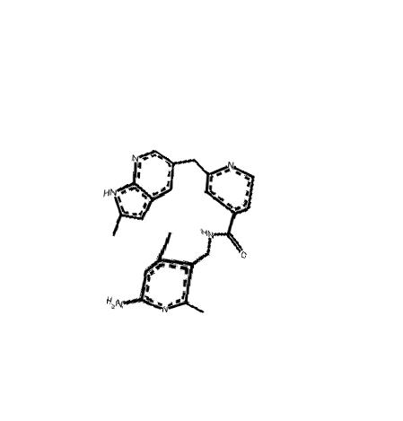 Cc1cc2cc(Cc3cc(C(=O)NCc4c(C)cc(N)nc4C)ccn3)cnc2[nH]1